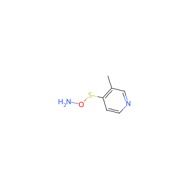 Cc1cnccc1SON